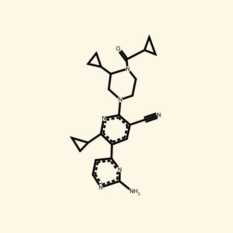 N#Cc1cc(-c2ccnc(N)n2)c(C2CC2)nc1N1CCN(C(=O)C2CC2)C(C2CC2)C1